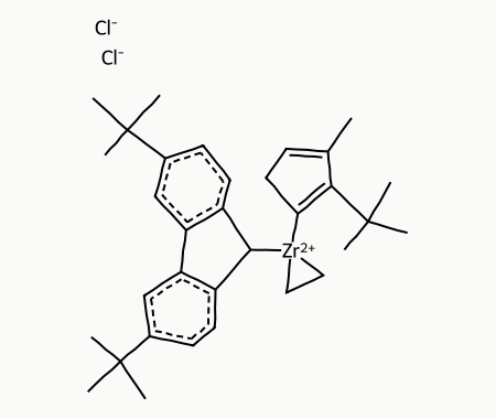 CC1=CC[C]([Zr+2]2([CH]3c4ccc(C(C)(C)C)cc4-c4cc(C(C)(C)C)ccc43)[CH2][CH2]2)=C1C(C)(C)C.[Cl-].[Cl-]